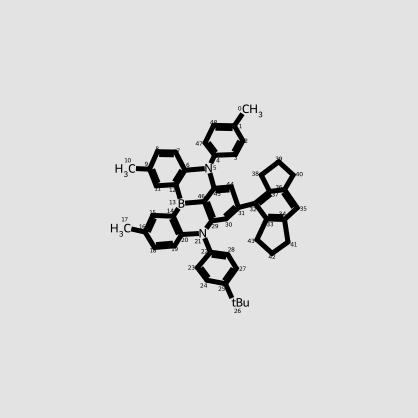 Cc1ccc(N2c3ccc(C)cc3B3c4cc(C)ccc4N(c4ccc(C(C)(C)C)cc4)c4cc(-c5c6c(cc7c5CCC7)CCC6)cc2c43)cc1